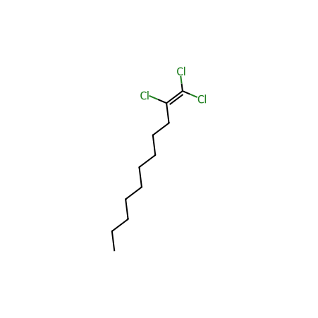 CCCCCCCCCC(Cl)=C(Cl)Cl